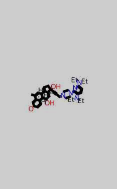 CCN(CC)c1ccc(N(CC)CC)c(N2CCN(CC#C[C@]3(O)CC[C@H]4[C@@H]5C=C(C)C6=CC(=O)C=C[C@]6(C)[C@H]5[C@@H](O)C[C@@]43C)CC2)n1